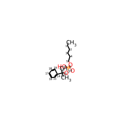 CCCCCCOP(=O)(O)OC(C)(C)c1ccccc1